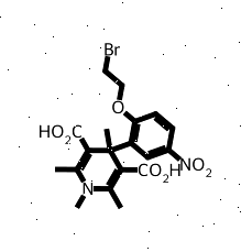 CC1=C(C(=O)O)C(C)(c2cc([N+](=O)[O-])ccc2OCCBr)C(C(=O)O)=C(C)N1C